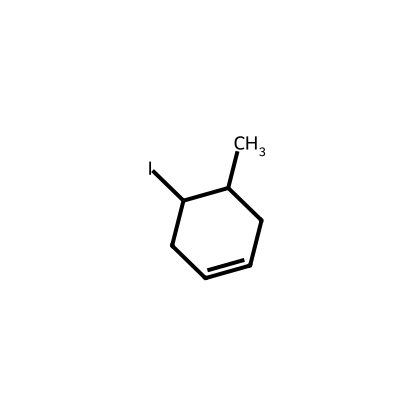 CC1CC=CCC1I